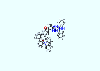 c1ccc(C2NC(c3ccccc3)NC(c3ccc4oc5cc(-c6cccc7c6oc6c(-n8c9ccccc9c9ccccc98)cccc67)ccc5c4c3)N2)cc1